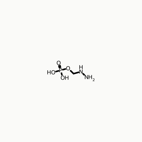 NNCOP(=O)(O)O